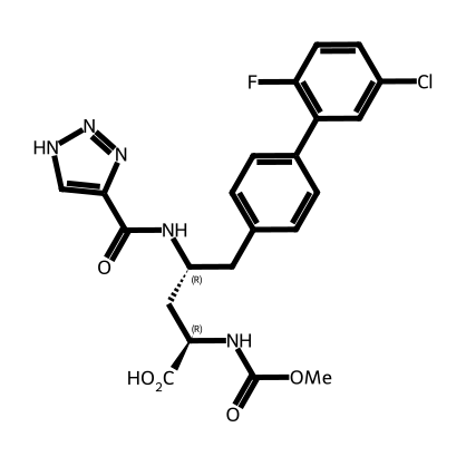 COC(=O)N[C@H](C[C@@H](Cc1ccc(-c2cc(Cl)ccc2F)cc1)NC(=O)c1c[nH]nn1)C(=O)O